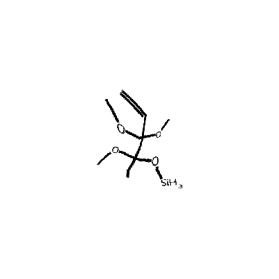 C=CC(OC)(OC)C(C)(OC)O[SiH3]